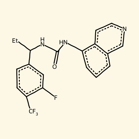 CCC(NC(=O)Nc1cccc2cnccc12)c1ccc(C(F)(F)F)c(F)c1